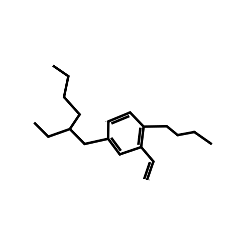 [CH]=Cc1cc(CC(CC)CCCC)[c]cc1CCCC